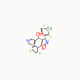 OC(c1cccnc1)c1c(C2=C(F)CC(F)(Cl)C=C2)noc1-c1ccc(F)cc1F